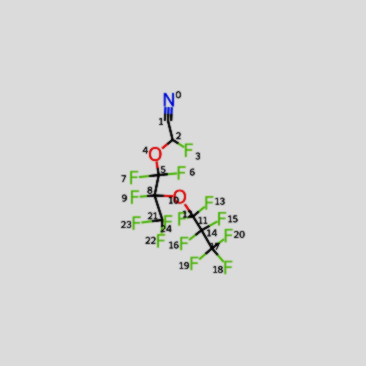 N#CC(F)OC(F)(F)C(F)(OC(F)(F)C(F)(F)C(F)(F)F)C(F)(F)F